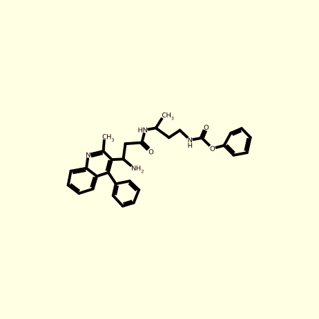 Cc1nc2ccccc2c(-c2ccccc2)c1C(N)CC(=O)NC(C)CCNC(=O)Oc1ccccc1